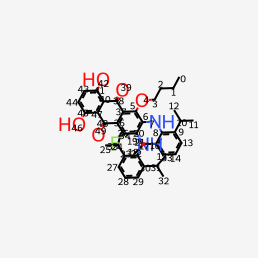 CCCCOc1c(Nc2c(C(C)C)cccc2C(C)C)c(Nc2c(C(C)C)cccc2C(C)C)c(F)c2c1C(=O)c1c(O)ccc(O)c1C2=O